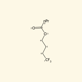 CCCC(=O)OCCCC(F)(F)F